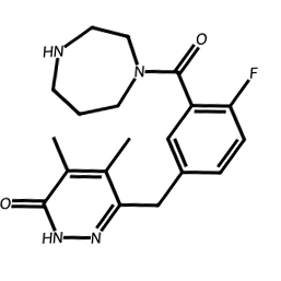 Cc1c(Cc2ccc(F)c(C(=O)N3CCCNCC3)c2)n[nH]c(=O)c1C